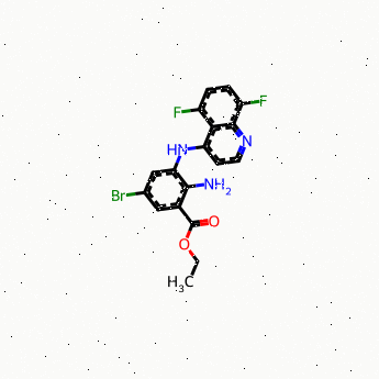 CCOC(=O)c1cc(Br)cc(Nc2ccnc3c(F)ccc(F)c23)c1N